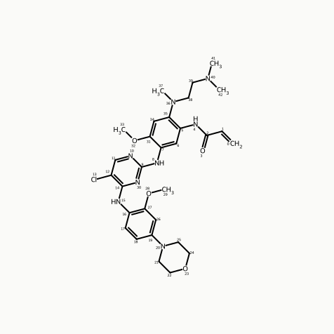 C=CC(=O)Nc1cc(Nc2ncc(Cl)c(Nc3ccc(N4CCOCC4)cc3OC)n2)c(OC)cc1N(C)CCN(C)C